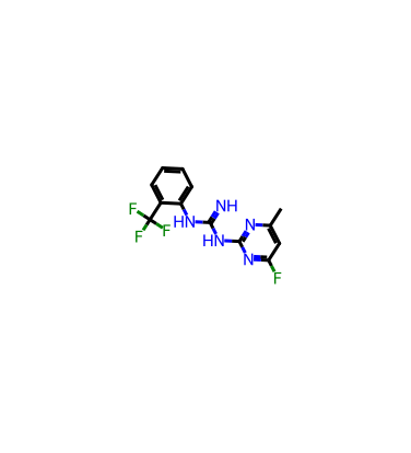 Cc1cc(F)nc(NC(=N)Nc2ccccc2C(F)(F)F)n1